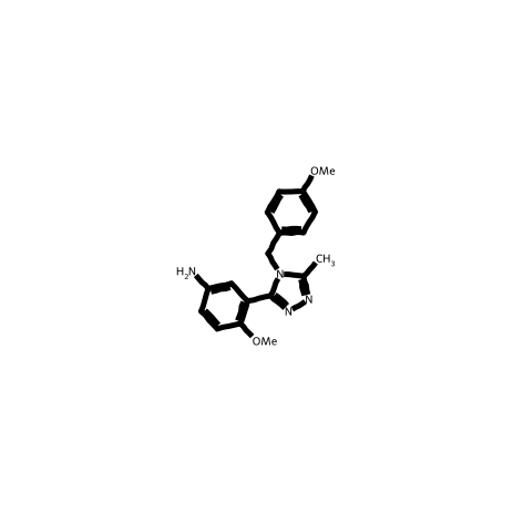 COc1ccc(Cn2c(C)nnc2-c2cc(N)ccc2OC)cc1